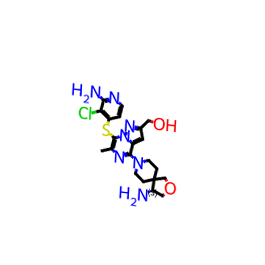 Cc1nc(N2CCC3(CC2)COC[C@H]3N)c2cc(CO)nn2c1Sc1ccnc(N)c1Cl